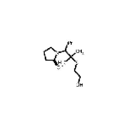 CC(C)C(N1CCCC1=O)C(C)(C)SCCO